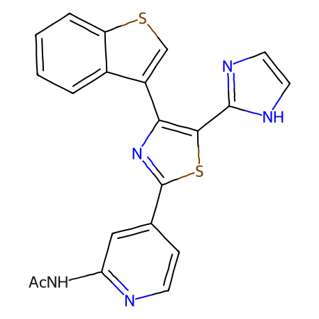 CC(=O)Nc1cc(-c2nc(-c3csc4ccccc34)c(-c3ncc[nH]3)s2)ccn1